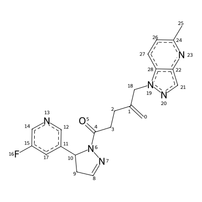 C=C(CCC(=O)N1N=CCC1c1cncc(F)c1)Cn1ncc2nc(C)ccc21